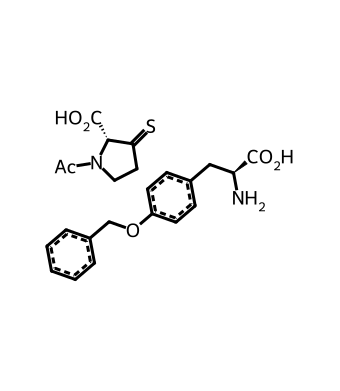 CC(=O)N1CCC(=S)[C@H]1C(=O)O.N[C@@H](Cc1ccc(OCc2ccccc2)cc1)C(=O)O